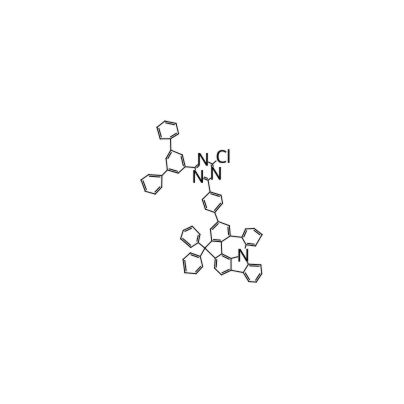 Clc1nc(-c2ccc(-c3cc4c5c(c3)C(c3ccccc3)(c3ccccc3)c3ccc6c7ccccc7n(c6c3-5)-c3ccccc3-4)cc2)nc(-c2cc(-c3ccccc3)cc(-c3ccccc3)c2)n1